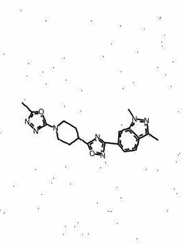 Cc1nnc(N2CCC(c3nc(-c4ccc5c(C)nn(C)c5c4)no3)CC2)o1